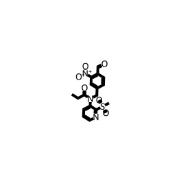 CCC(=O)N(Cc1ccc(C=O)c([N+](=O)[O-])c1)c1cccnc1S(C)(=O)=O